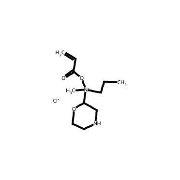 C=CC(=O)O[N+](C)(CCC)C1CNCCO1.[Cl-]